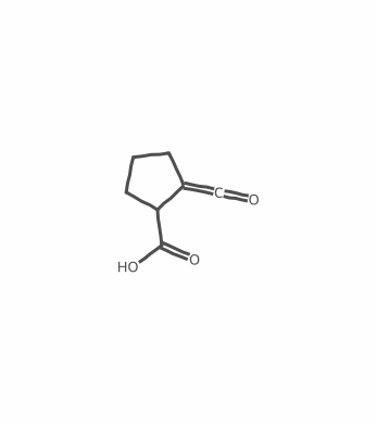 O=C=C1CCCC1C(=O)O